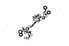 CN[C@@H](C)C(=O)C[C@H](C(=O)N1C[C@@H](OCC#CC#CCO[C@H](C)[C@H](NC(=O)[C@H](C)NC)C(=O)N2CCC[C@H]2CN(CCc2ccccc2)C(=O)c2ccccc2)C[C@H]1C(=O)N[C@@H]1CCCc2ccccc21)C(C)(C)C